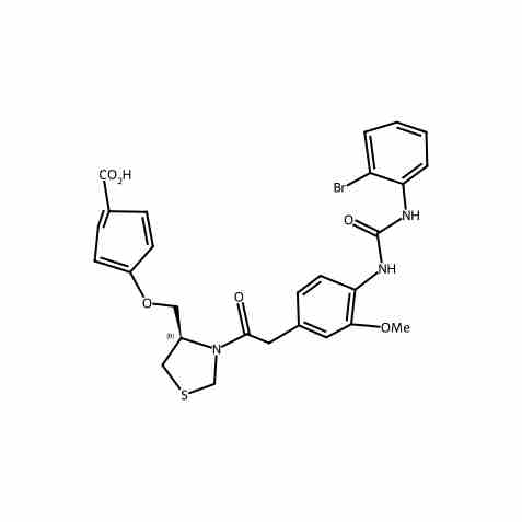 COc1cc(CC(=O)N2CSC[C@H]2COc2ccc(C(=O)O)cc2)ccc1NC(=O)Nc1ccccc1Br